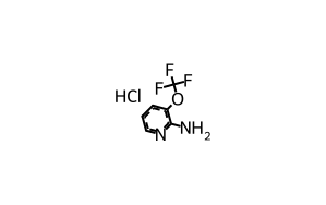 Cl.Nc1ncccc1OC(F)(F)F